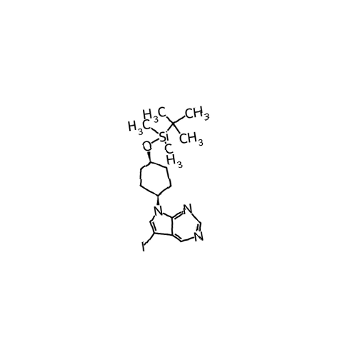 CC(C)(C)[Si](C)(C)O[C@H]1CC[C@@H](n2cc(I)c3cncnc32)CC1